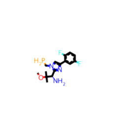 COC(C)(C)[C@@H](N)c1nc(-c2cc(F)ccc2F)cn1CP